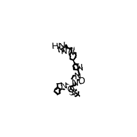 CC(C)(C)[Si](C)(C)O[C@H](CN1CCc2ccccc2C1)CN1CCN(Cc2ccc(C3CCN(Cc4c[nH]nn4)CC3)cn2)C1=O